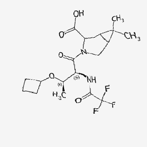 C[C@@H](OC1CCC1)[C@H](NC(=O)C(F)(F)F)C(=O)N1CC2C(C1C(=O)O)C2(C)C